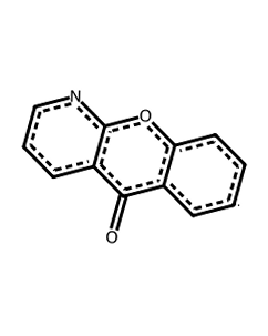 O=c1c2c[c]ccc2oc2ncccc12